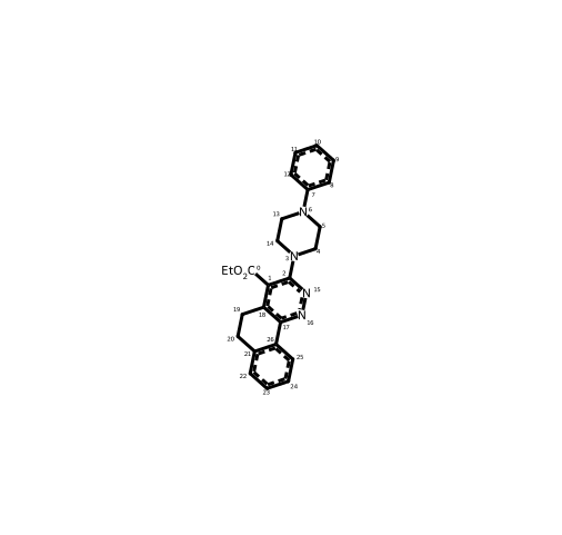 CCOC(=O)c1c(N2CCN(c3ccccc3)CC2)nnc2c1CCc1ccccc1-2